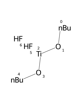 CCCC[O][Ti][O]CCCC.F.F